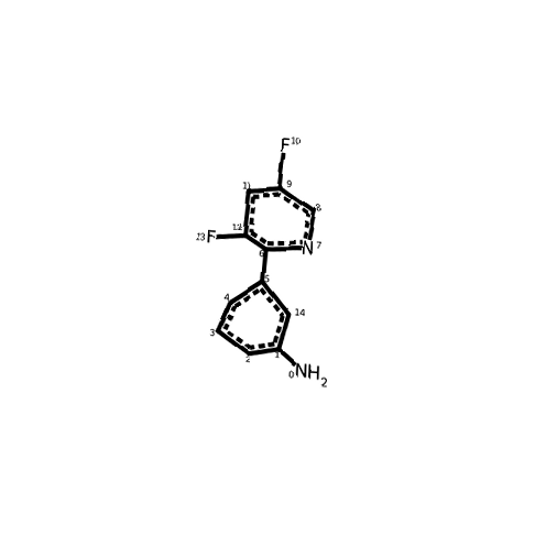 Nc1cccc(-c2ncc(F)cc2F)c1